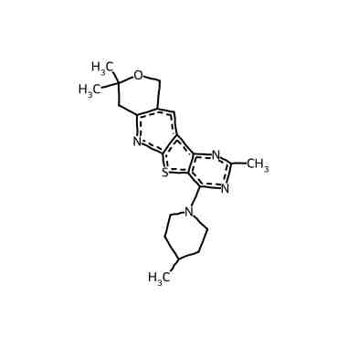 Cc1nc(N2CCC(C)CC2)c2sc3nc4c(cc3c2n1)COC(C)(C)C4